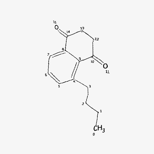 CCCCc1cccc2c1C(=O)C[CH]C2=O